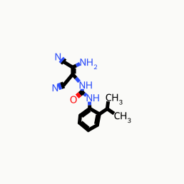 CC(C)c1ccccc1NC(=O)N/C(C#N)=C(\N)C#N